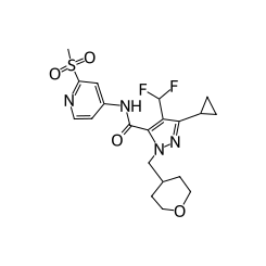 CS(=O)(=O)c1cc(NC(=O)c2c(C(F)F)c(C3CC3)nn2CC2CCOCC2)ccn1